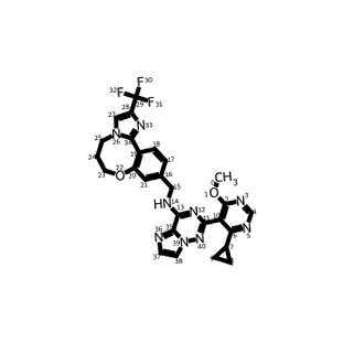 COc1ncnc(C2CC2)c1-c1nc(NCc2ccc3c(c2)OCCCn2cc(C(F)(F)F)nc2-3)c2nccn2n1